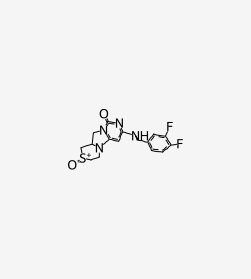 O=c1nc(NCc2ccc(F)c(F)c2)cc2n1CC1C[S+]([O-])CCN21